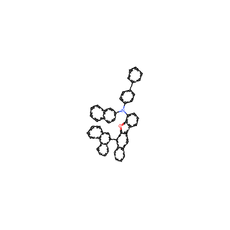 c1ccc(-c2ccc(N(c3ccc4ccccc4c3)c3cccc4c3oc3c(-c5cc6ccccc6c6ccccc56)c5ccccc5cc34)cc2)cc1